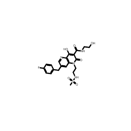 CS(=O)(=O)NCCn1c(=O)c(C(=O)NCCO)c(O)c2ncc(Cc3ccc(F)cc3)cc21